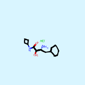 Cl.N[C@H](CC1CCCCC1)C(O)C(=O)NC1CCC1